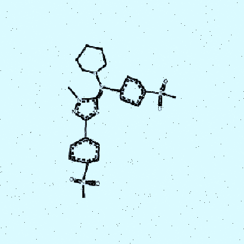 Cn1nc(-c2ccc(S(C)(=O)=O)cc2)sc1=[N+](c1ccc(S(C)(=O)=O)cc1)N1CCCCC1